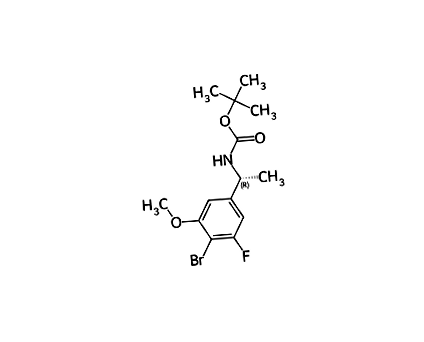 COc1cc([C@@H](C)NC(=O)OC(C)(C)C)cc(F)c1Br